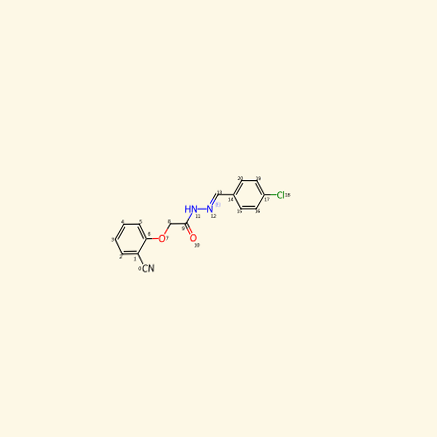 N#Cc1ccccc1OCC(=O)N/N=C/c1ccc(Cl)cc1